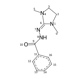 CN1CCN(C)C1=NNC(=O)c1ccccc1